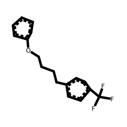 FC(F)(F)c1ccc(CCCCOc2cc[c]cc2)cc1